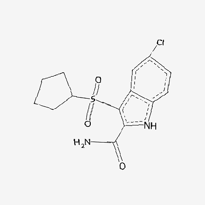 NC(=O)c1[nH]c2ccc(Cl)cc2c1S(=O)(=O)C1CCCC1